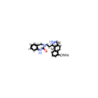 COc1cccc2c1CC[C@H]1CNC(CCN3Cc4ccccc4NC3=O)[C@@H]21